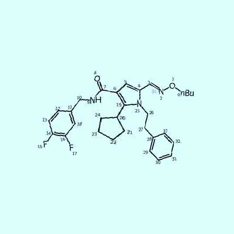 CCCCO/N=C/c1cc(C(=O)NCc2ccc(F)c(F)c2)c(C2CCCC2)n1CCc1ccccc1